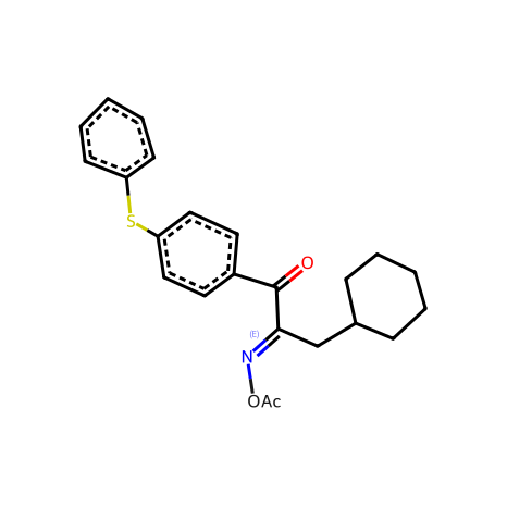 CC(=O)O/N=C(\CC1CCCCC1)C(=O)c1ccc(Sc2ccccc2)cc1